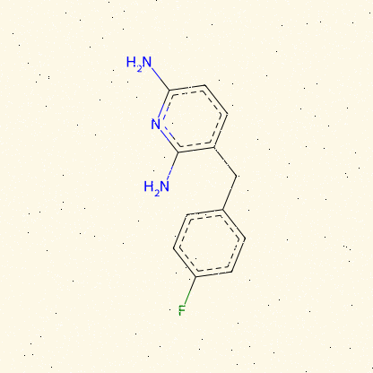 Nc1ccc(Cc2ccc(F)cc2)c(N)n1